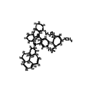 Cc1cc(C)c(-c2ccc3c(c2)B2c4ccccc4-c4cccc(c42)N3c2cc3c4c(c2)CC=C2C=CC=C(C=C3)C24)c(C)c1